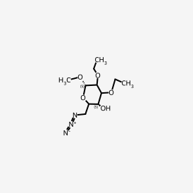 CCOC1C(OCC)[C@@H](O)C(CN=[N+]=[N-])O[C@@H]1OC